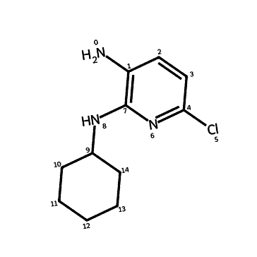 Nc1ccc(Cl)nc1NC1CCCCC1